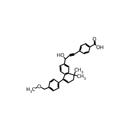 COCc1ccc(C2=CCC(C)(C)c3cc(C(O)C#Cc4ccc(C(=O)O)cc4)ccc32)cc1